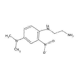 CN(C)c1ccc(NCCN)c([N+](=O)[O-])c1